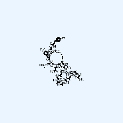 CC(C)C[C@@H](NC(=O)C1(C)CCCCCCCCC(C)(NC(=O)[C@@H](C)NC(=O)CCc2ccc(O)cc2)C(=O)N[C@H](Cc2ccc(C(F)(F)F)cc2)C(=O)N[C@H](CCC(=O)O)C(=O)N[C@H](CCC(N)=O)C(=O)N1)C(=O)N[C@H](CO)C(=O)N[C@H](C)C(=O)N[C@H](C)C(=O)N[C@H](C)C(=O)N[C@H](C)C(=O)N[C@H](C)C(=O)N[C@H](C)C(=O)N[C@H](C)C(=O)N[C@H](C)C(=O)N[C@H](C)C(N)=O